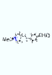 CO[n+]1ccc(C=Cc2ccc(C=O)cc2)cc1